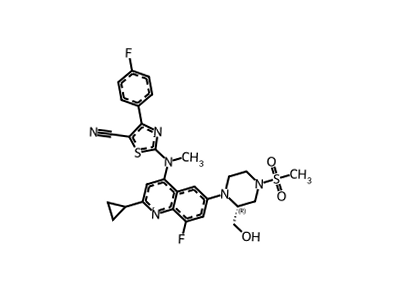 CN(c1nc(-c2ccc(F)cc2)c(C#N)s1)c1cc(C2CC2)nc2c(F)cc(N3CCN(S(C)(=O)=O)C[C@@H]3CO)cc12